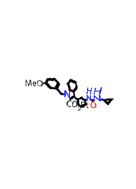 CCOC(=O)c1c(-c2cccc(NC(=O)NC3CC3)c2)c2ccccc2n1Cc1cccc(OC)c1